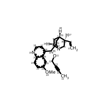 C=C[C@H]1CN2CC[C@H]1C[C@H]2[C@H](OCC#CC)c1ccnc2ccc(OC)cc12